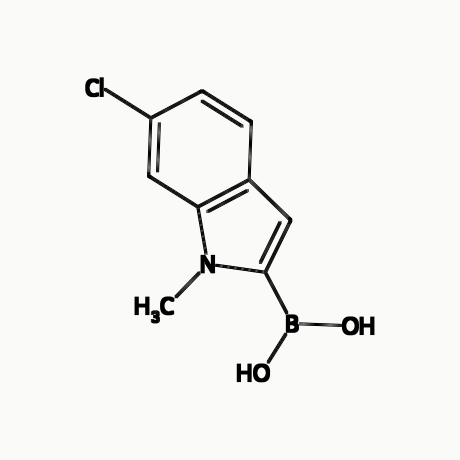 Cn1c(B(O)O)cc2ccc(Cl)cc21